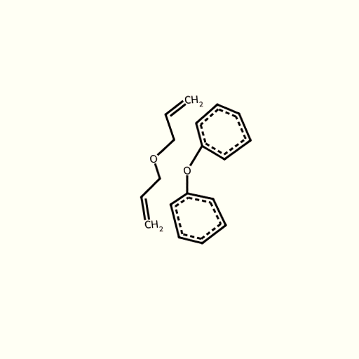 C=CCOCC=C.c1ccc(Oc2ccccc2)cc1